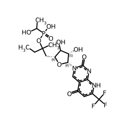 CCC(C)(C[C@H]1O[C@@H](n2cc3c(=O)cc(C(F)(F)F)[nH]c3nc2=O)[C@@H](O)C1O)OP(=O)(O)C(C)O